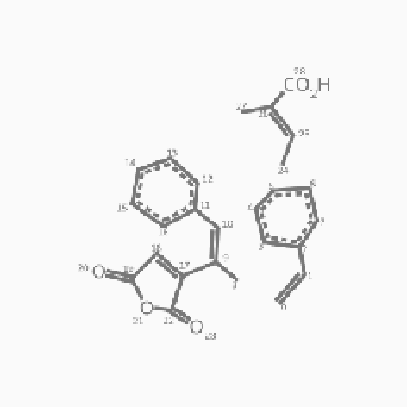 C=Cc1ccccc1.CC(=Cc1ccccc1)C1=CC(=O)OC1=O.CC=C(C)C(=O)O